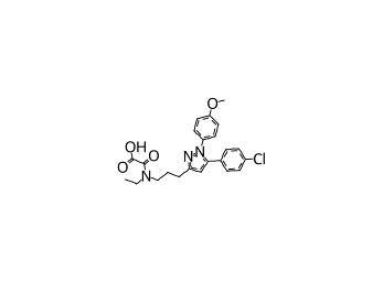 CCN(CCCc1cc(-c2ccc(Cl)cc2)n(-c2ccc(OC)cc2)n1)C(=O)C(=O)O